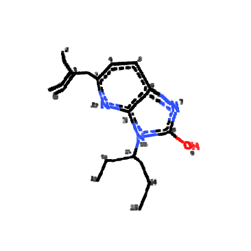 C=C(C)c1ccc2nc(O)n(C(CC)CC)c2n1